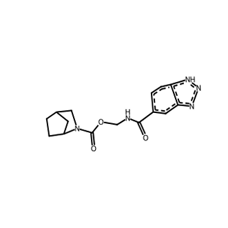 O=C(NCOC(=O)N1CC2CCC1C2)c1ccc2[nH]nnc2c1